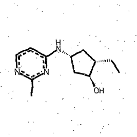 CC[C@H]1C[C@@H](Nc2ccnc(C)n2)C[C@@H]1O